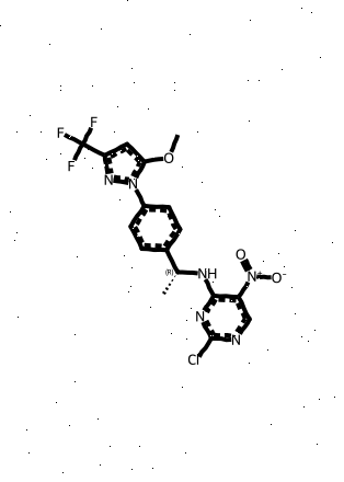 COc1cc(C(F)(F)F)nn1-c1ccc([C@@H](C)Nc2nc(Cl)ncc2[N+](=O)[O-])cc1